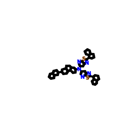 c1ccc2cc(-c3ccc4c(ccc5cc(N(c6cnc7sc(-c8cccc9ccccc89)nc7c6)c6cnc7sc(-c8cccc9ccccc89)nc7c6)ccc54)c3)ccc2c1